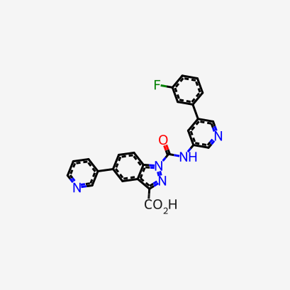 O=C(O)c1nn(C(=O)Nc2cncc(-c3cccc(F)c3)c2)c2ccc(-c3cccnc3)cc12